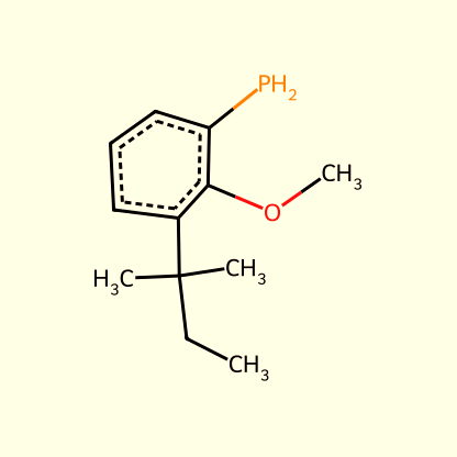 CCC(C)(C)c1cccc(P)c1OC